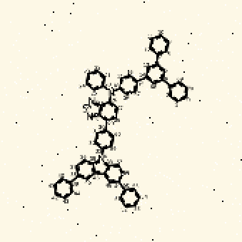 c1ccc(-c2cc(-c3ccccc3)cc(-c3ccc(N(c4ccccc4)c4ccc(-c5ccc(-n6c7ccc(-c8ccccc8)cc7c7cc(-c8ccccc8)ccc76)cc5)c5nsnc45)cc3)c2)cc1